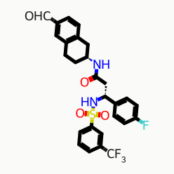 O=Cc1ccc2c(c1)CC[C@@H](NC(=O)C[C@@H](NS(=O)(=O)c1cccc(C(F)(F)F)c1)c1ccc(F)cc1)C2